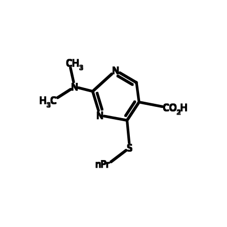 CCCSc1nc(N(C)C)ncc1C(=O)O